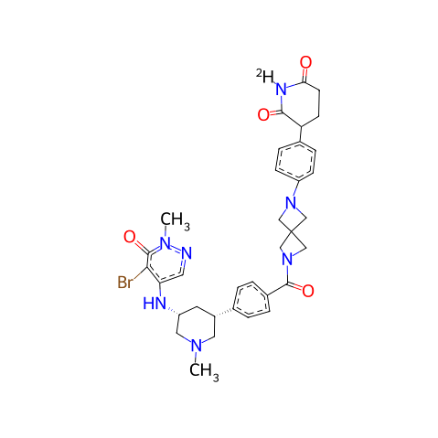 [2H]N1C(=O)CCC(c2ccc(N3CC4(CN(C(=O)c5ccc([C@H]6C[C@@H](Nc7cnn(C)c(=O)c7Br)CN(C)C6)cc5)C4)C3)cc2)C1=O